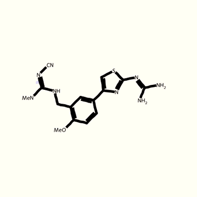 CN/C(=N/C#N)NCc1cc(-c2csc(N=C(N)N)n2)ccc1OC